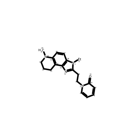 CCn1c(CCn2ccccc2=O)nc2c3c(ccc21)N(C)CCC3